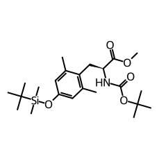 COC(=O)[C@H](Cc1c(C)cc(O[Si](C)(C)C(C)(C)C)cc1C)NC(=O)OC(C)(C)C